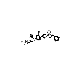 NCC1CN(c2ccc(C3CN(C(=O)OCc4ccccc4)C3)c(F)c2)C(=O)O1